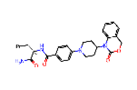 CC(C)C[C@H](NC(=O)c1ccc(N2CCC(N3C(=O)OCc4ccccc43)CC2)cc1)C(N)=O